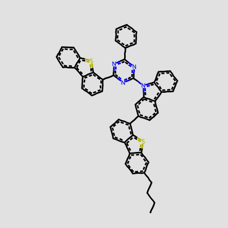 CCCCc1ccc2c(c1)sc1c(-c3ccc4c5ccccc5n(-c5nc(-c6ccccc6)nc(-c6cccc7c6sc6ccccc67)n5)c4c3)cccc12